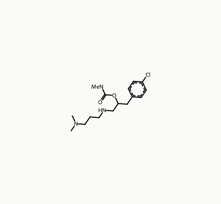 CNC(=O)OC(CNCCCN(C)C)Cc1ccc(Cl)cc1